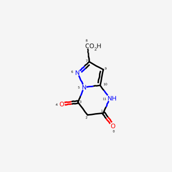 O=C1CC(=O)n2nc(C(=O)O)cc2N1